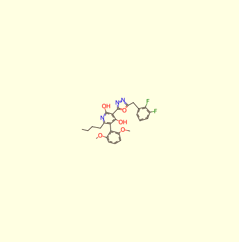 CCCCc1nc(O)c(-c2nnc(Cc3cccc(F)c3F)o2)c(O)c1-c1c(OC)cccc1OC